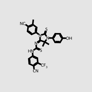 Cc1cc(N2C(=S)N(c3ccc(O)cc3)C(C)(C)/C2=N\C(=S)Nc2ccc(C#N)c(C(F)(F)F)c2)ccc1C#N